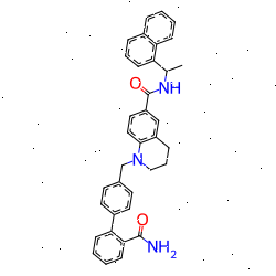 CC(NC(=O)c1ccc2c(c1)CCCN2Cc1ccc(-c2ccccc2C(N)=O)cc1)c1cccc2ccccc12